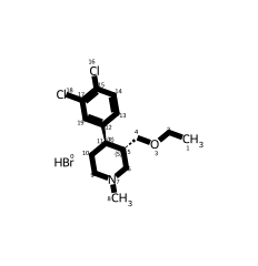 Br.CCOC[C@@H]1CN(C)CC[C@H]1c1ccc(Cl)c(Cl)c1